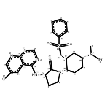 CC(C)N(C)[C@@H]1CC[C@H](N2CC[C@H](Nc3ncnc4ncc(Cl)cc34)C2=O)[C@H](CS(=O)(=O)c2ccccc2)C1